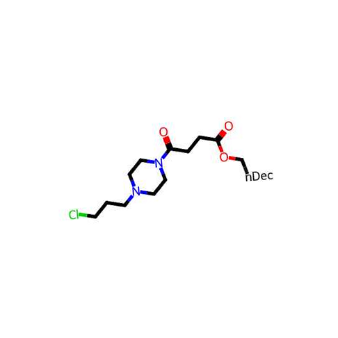 CCCCCCCCCCCOC(=O)CCC(=O)N1CCN(CCCCl)CC1